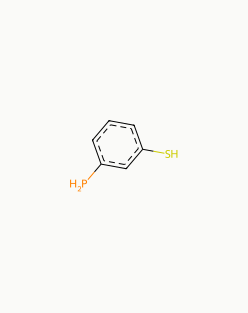 Pc1cccc(S)c1